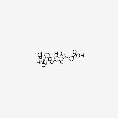 O=C(O)c1cccc(C2CC(O)(c3ccc(OCC4=CONC4(c4c(Cl)cccc4Cl)C4CC4)cc3Cl)C2)c1